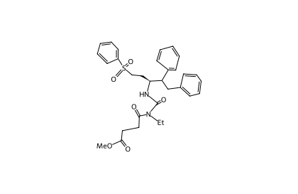 CCN(C(=O)CCC(=O)OC)C(=O)N[C@@H](CCS(=O)(=O)c1ccccc1)C(Cc1ccccc1)c1ccccc1